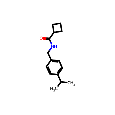 CC(C)c1ccc(CNC(=O)C2CCC2)cc1